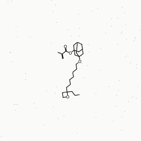 C=C(C)C(=O)OC12CC3CC(CC(OCCCCCCCC4(CCC)CCO4)(C3)C1)C2